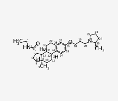 CCNC(=O)[C@H]1CC[C@@]2(C)CC[C@@H]3c4ccc(OCCCN5CCC[C@H]5C)cc4CC[C@H]3[C@H]12